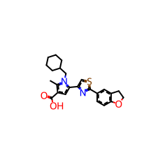 Cc1c(C(=O)O)cc(-c2csc(-c3ccc4c(c3)CCO4)n2)n1CC1CCCCC1